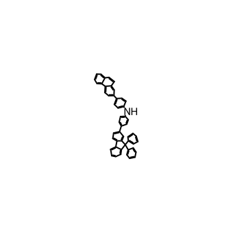 c1ccc(C2(c3ccccc3)c3ccccc3-c3ccc(-c4ccc(Nc5ccc(-c6ccc7c(ccc8ccccc87)c6)cc5)cc4)cc32)cc1